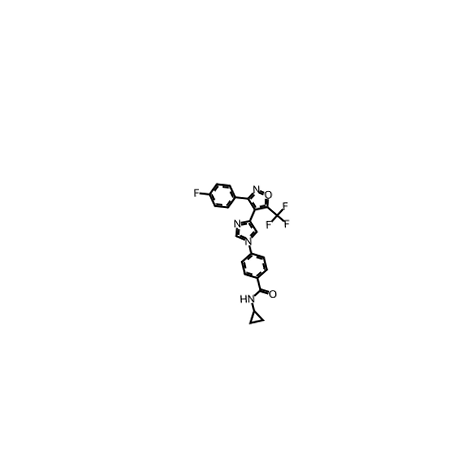 O=C(NC1CC1)c1ccc(-n2cnc(-c3c(-c4ccc(F)cc4)noc3C(F)(F)F)c2)cc1